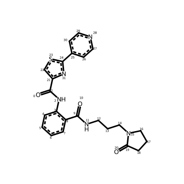 O=C(Nc1ccccc1C(=O)NCCCN1CCCC1=O)c1csc(-c2ccncc2)n1